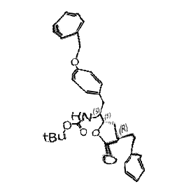 CC(C)(C)OC(=O)N[C@@H](Cc1ccc(OCc2ccccc2)cc1)[C@@H]1C[C@@H](Cc2ccccc2)C(=O)O1